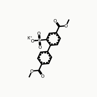 COC(=O)c1ccc(-c2ccc(C(=O)OC)cc2S(=O)(=O)[O-])cc1.[K+]